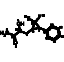 NC(=O)N(O)CC1C(c2ccccc2)C1(F)F